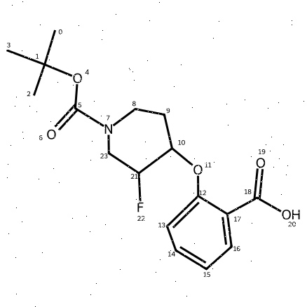 CC(C)(C)OC(=O)N1CCC(Oc2ccccc2C(=O)O)C(F)C1